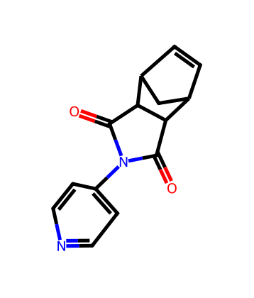 O=C1C2C3C=CC(C3)C2C(=O)N1c1ccncc1